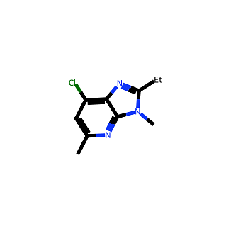 CCc1nc2c(Cl)cc(C)nc2n1C